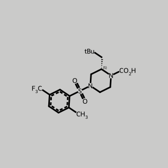 Cc1ccc(C(F)(F)F)cc1S(=O)(=O)N1CCN(C(=O)O)[C@@H](CC(C)(C)C)C1